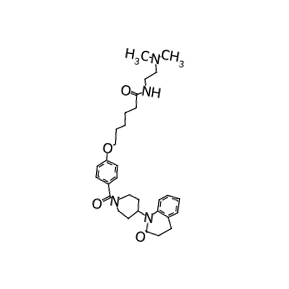 CN(C)CCNC(=O)CCCCCOc1ccc(C(=O)N2CCC(N3C(=O)CCc4ccccc43)CC2)cc1